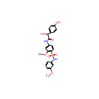 CCOc1cc(NC(=O)C(O)c2ccc(O)cc2)ccc1S(=O)(=O)Nc1cccc(OC(F)(F)F)c1